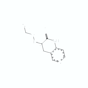 NCOBC1Cc2cnccc2NC1=O